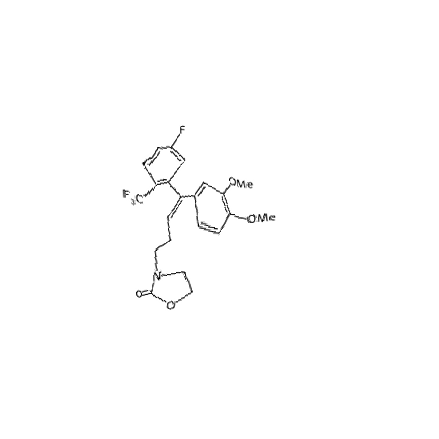 COc1ccc(/C(=C\CCN2CCOC2=O)c2cc(F)ccc2C(F)(F)F)cc1OC